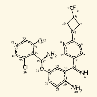 N=C(c1ccc(N2CC(C(F)(F)F)C2)nc1)c1cc(O[C@H](N)c2c(Cl)cncc2Cl)ccc1N